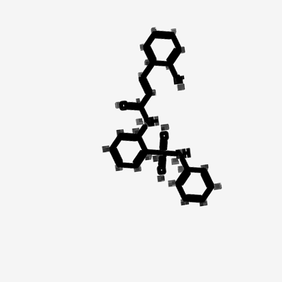 O=C(C=Cc1ccccc1Br)Nc1ccccc1S(=O)(=O)Nc1ccccc1